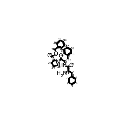 N[C@@H](Cc1ccccc1)C(=O)N[C@@H](Cc1ccccc1)C(=O)N1CCC[C@@H]1C(=O)OCc1ccccc1